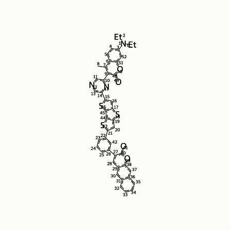 CCN(CC)c1ccc2c(C)c(-c3cncc(-c4cc5sc6cc(-c7cccc(-c8cc9cc%10ccccc%10cc9oc8=O)c7)sc6c5s4)n3)c(=O)oc2c1